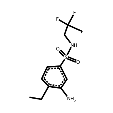 CCc1ccc(S(=O)(=O)NCC(F)(F)F)cc1N